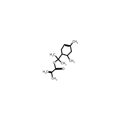 C=C(C)C(=O)OC(C)(C)C1CC=C(C)CC1C